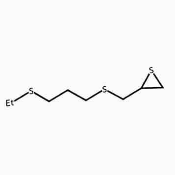 CCSCCCSCC1CS1